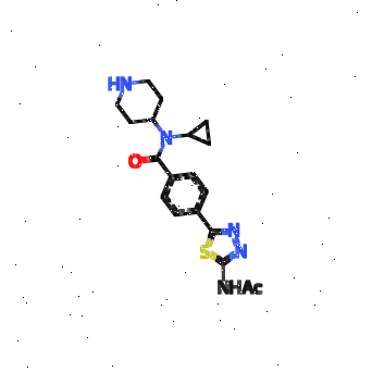 CC(=O)Nc1nnc(-c2ccc(C(=O)N(C3CCNCC3)C3CC3)cc2)s1